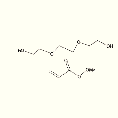 C=CC(=O)OOC.OCCOCCOCCO